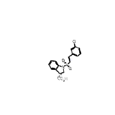 O=C(O)[C@H]1CN(S(=O)(=O)/C=C/c2cccc(Cl)c2)c2ccccc21